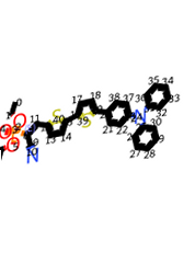 CCOP(=O)(OCC)/C(C#N)=C/c1ccc(-c2ccc(-c3ccc(N(c4ccccc4)c4ccccc4)cc3)s2)s1